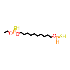 CCOP(S)OCCCCCCCCCCOPS